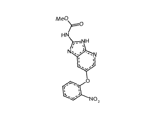 COC(=O)Nc1nc2cc(Oc3ccccc3[N+](=O)[O-])cnc2[nH]1